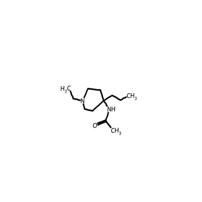 CCCC1(NC(C)=O)CCN(CC)CC1